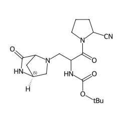 CC(C)(C)OC(=O)NC(CN1C[C@@H]2CC1C(=O)N2)C(=O)N1CCCC1C#N